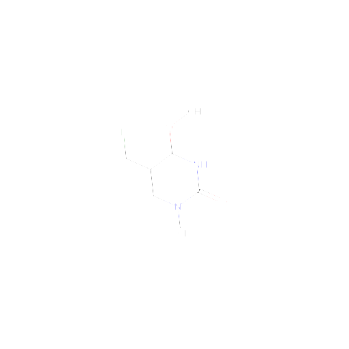 COC1NC(=O)N(C)CC1CF